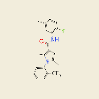 Cc1ccc(F)c(NC(=O)c2cc(C)n(-c3ccccc3C(F)(F)F)c2C)c1